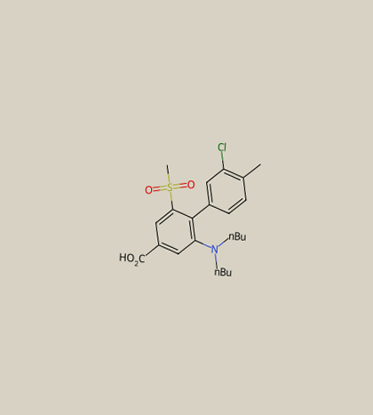 CCCCN(CCCC)c1cc(C(=O)O)cc(S(C)(=O)=O)c1-c1ccc(C)c(Cl)c1